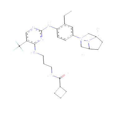 CCc1cc(N2C[C@H]3CC[C@@H](C2)N3C)ccc1Nc1ncc(C(F)(F)F)c(NCCCNC(=O)C2CCC2)n1